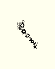 CC(C)(C)OC(=O)C1CC2(C1)CN(C1CCN(c3ccc(NC4CCC(=O)NC4=O)cc3F)CC1)C2